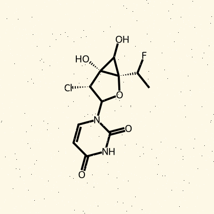 CC(F)[C@]12OC(n3ccc(=O)[nH]c3=O)[C@H](Cl)[C@@]1(O)C2O